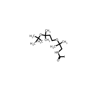 CC(C)(C)OC(C)(C)CCOC(C)(C)CNC(=O)I